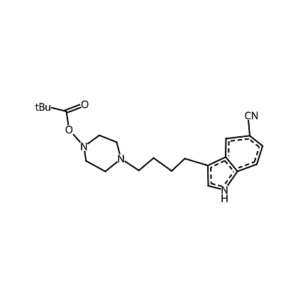 CC(C)(C)C(=O)ON1CCN(CCCCc2c[nH]c3ccc(C#N)cc23)CC1